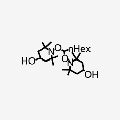 CCCCCCC(ON1C(C)(C)CC(O)CC1(C)C)ON1C(C)(C)CC(O)CC1(C)C